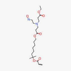 C=CC(=O)OC(C)(C)CCCCCCOC(=O)CCN(CCN=O)CCC(=O)OCC